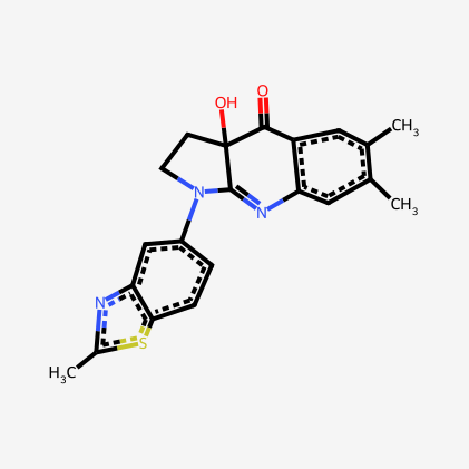 Cc1nc2cc(N3CCC4(O)C(=O)c5cc(C)c(C)cc5N=C34)ccc2s1